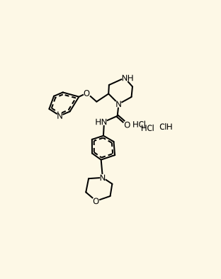 Cl.Cl.Cl.O=C(Nc1ccc(N2CCOCC2)cc1)N1CCNCC1COc1cccnc1